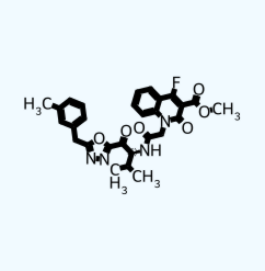 COC(=O)c1c(F)c2ccccc2n(CC(=O)N[C@H](C(=O)c2nnc(Cc3cccc(C)c3)o2)C(C)C)c1=O